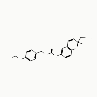 CCOc1ccc(COC(=O)Nc2ccc3c(c2)C=CC(C)(CC)O3)cc1